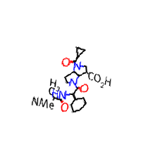 CNC(C)C(=O)NC(C(=O)N1CCC2C1C(C(=O)O)CN2C(=O)C1CC1)C1CCCCC1